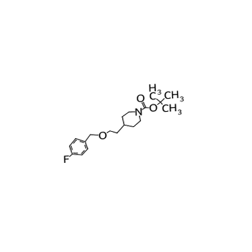 CC(C)(C)OC(=O)N1CCC(CCOCc2ccc(F)cc2)CC1